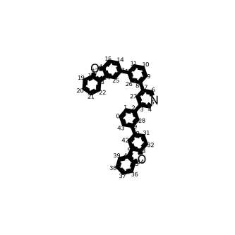 c1cc(-c2cncc(-c3cccc(-c4ccc5oc6ccccc6c5c4)c3)c2)cc(-c2ccc3oc4ccccc4c3c2)c1